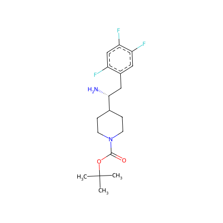 CC(C)(C)OC(=O)N1CCC([C@H](N)Cc2cc(F)c(F)cc2F)CC1